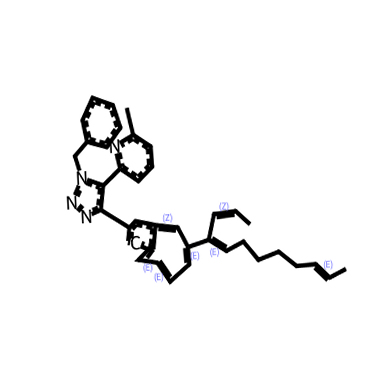 C\C=C/C(=C\CCCC/C=C/C)C1=C/C=C/C=c2\ccc(-c3nnn(Cc4ccccc4)c3-c3cccc(C)n3)c\c2=C\1